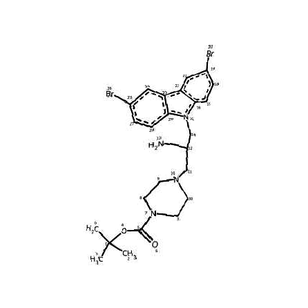 CC(C)(C)OC(=O)N1CCN(CC(N)Cn2c3ccc(Br)cc3c3cc(Br)ccc32)CC1